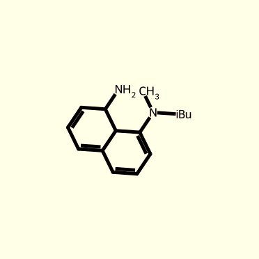 CCC(C)N(C)C1=CC=CC2=CC=CC(N)C21